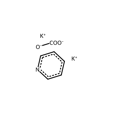 O=C([O-])[O-].[K+].[K+].c1ccncc1